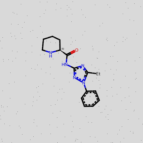 CCc1nc(NC(=O)[C@@H]2CCCCN2)nn1-c1ccccc1